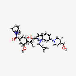 COCC1CCN(c2ccc3cc(-c4oc5cc(C(=O)N6CC7CCC6[C@@H]7C)cc(OC)c5c4C)n(CC4CC4)c3c2)CC1